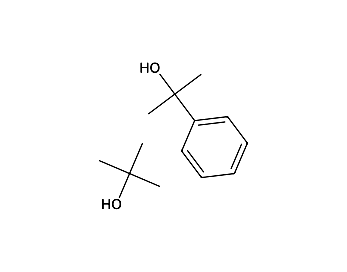 CC(C)(C)O.CC(C)(O)c1ccccc1